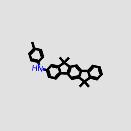 Cc1ccc(Nc2ccc3c(c2)C(C)(C)c2cc4c(cc2-3)C(C)(C)c2ccccc2-4)cc1